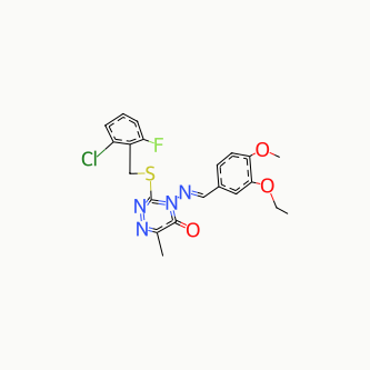 CCOc1cc(/C=N/n2c(SCc3c(F)cccc3Cl)nnc(C)c2=O)ccc1OC